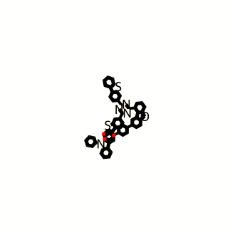 c1ccc(-n2c3ccccc3c3cc(-c4ccc(-c5ccc6oc7cccc(-c8nc(-c9ccc%10c(c9)sc9ccccc9%10)nc(-c9ccc%10c(c9)sc9ccccc9%10)n8)c7c6c5)cc4)ccc32)cc1